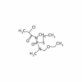 CCOCN(C)P(=O)(SCC)N(C)C(=O)C(C)Cl